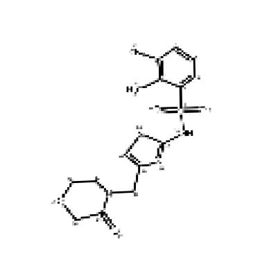 Cc1c(Cl)cccc1S(=O)(=O)Nc1nc(CN2CCOCC2=O)cs1